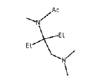 CCC(CC)(CN(C)C)N(C)C(C)=O